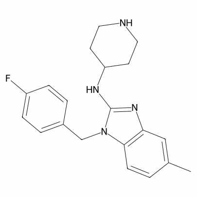 Cc1ccc2c(c1)nc(NC1CCNCC1)n2Cc1ccc(F)cc1